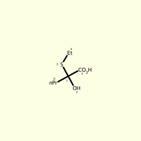 CCCC(O)(SCC)C(=O)O